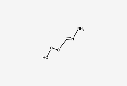 N/N=C/OOO